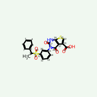 CC(c1ccccc1)S(=O)(=O)c1cccc(-n2c(=O)[nH]c3scc(C(=O)O)c3c2=O)c1